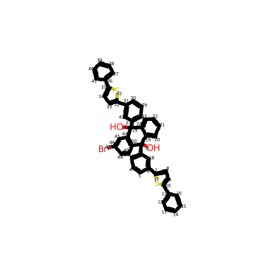 OC1(c2cccc(-c3ccc(-c4ccccc4)s3)c2)c2ccccc2C(O)(c2cccc(-c3ccc(-c4ccccc4)s3)c2)c2cc(Br)ccc21